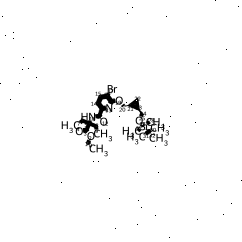 CCOC(=O)C(CC)(CC)NC(=O)c1ccc(Br)c(OC[C@@H]2C[C@H]2CO[Si](C)(C)C(C)(C)C)n1